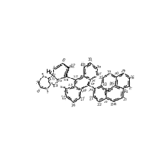 C1=C[C@H]2C3=C(C=CCC3)SC2C(c2c3ccccc3c(-c3ccc4ccc5cccc6ccc3c4c56)c3ccccc23)=C1